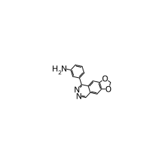 Nc1cccc(-c2nncc3cc4c(cc23)OCO4)c1